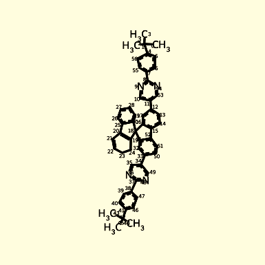 CC(C)(C)c1ccc(-c2ncc(-c3ccc4c(c3)C3(C5=C(C=CCC5)c5ccccc53)c3cc(-c5cnc(-c6ccc(C(C)(C)C)cc6)nc5)ccc3-4)cn2)cc1